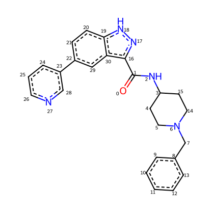 O=C(NC1CCN(Cc2ccccc2)CC1)c1n[nH]c2ccc(-c3cccnc3)cc12